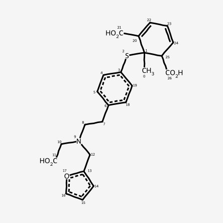 CC1(Sc2ccc(CCN(CC(=O)O)Cc3ccco3)cc2)C(C(=O)O)=CC=CC1C(=O)O